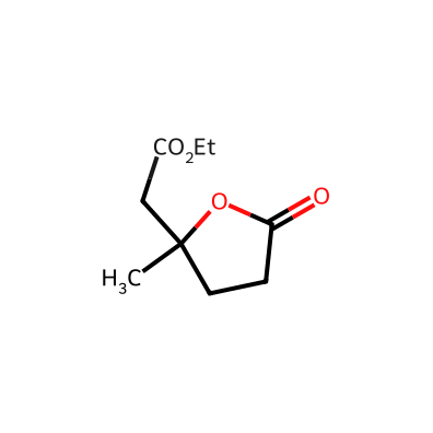 CCOC(=O)CC1(C)CCC(=O)O1